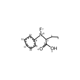 CCC(C(=O)O)N(F)c1ccccc1